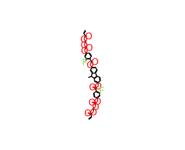 C=CC(=O)OCOC(=O)Oc1ccc(C(=O)Oc2ccc3c(c2)C(C)c2cc(OC(=O)c4ccc(OC(=O)OCOC(=O)C=C)cc4F)ccc2-3)c(F)c1